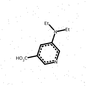 CCN(CC)c1cncc(C(=O)O)c1